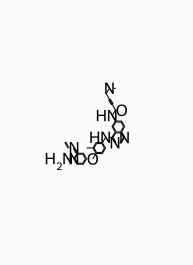 C=C/N=c1/cc(Oc2ccc(Nc3ncnc4ccc(NC(=O)C#CCN(C)C)cc34)cc2C)ccn1N